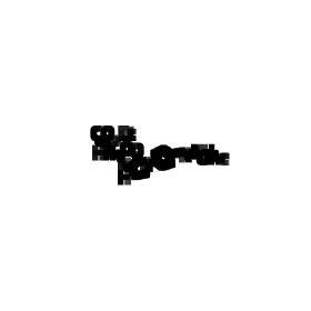 CCOC(=O)CCNC(=O)N[C@H]1CCN(c2ccc(C=NNOC(C)=O)cc2)C1=O